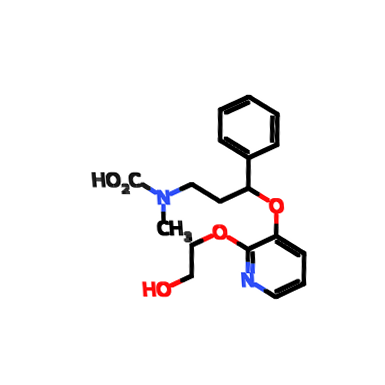 CN(CCC(Oc1cccnc1OCCO)c1ccccc1)C(=O)O